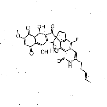 C/C=C/C=C/c1cc2c(F)c3c(c(O)c2c(=O)[nH]1)C1(CC3)C(=O)C2=C(C1=O)C(O)C1C(=O)C(OC)=CC(=O)C1=C2O